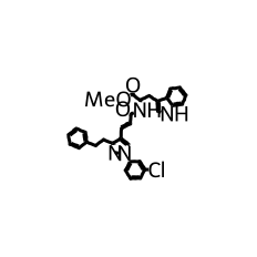 COC(=O)C(Cc1c[nH]c2ccccc12)NC(=O)/C=C/c1cn(-c2cccc(Cl)c2)nc1CCc1ccccc1